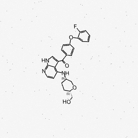 O=C(c1ccc(Oc2ccccc2F)cc1)c1c[nH]c2nccc(N[C@@H]3CC[C@@H](CO)OC3)c12